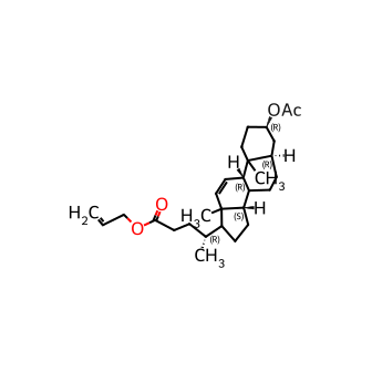 C=CCOC(=O)CC[C@@H](C)C1CC[C@H]2C3CC[C@@H]4C[C@H](OC(C)=O)CCC4(C)[C@H]3C=CC12C